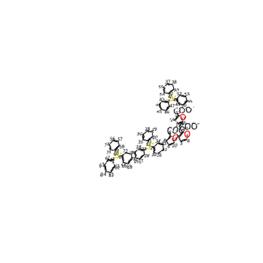 O=C([O-])c1ccco1.O=C([O-])c1ccco1.O=C([O-])c1ccco1.c1ccc([S+](c2ccccc2)c2ccccc2)cc1.c1ccc([S+](c2ccccc2)c2ccccc2)cc1.c1ccc([S+](c2ccccc2)c2ccccc2)cc1